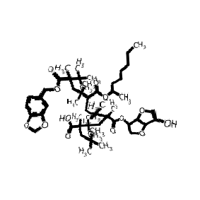 CCCCCCC(C)OC(=O)C(CC(C)(C)C(C)(CC(C)(C)C(C)(CC(C)(C)C)C(=O)O)C(=O)OC1COC2C(O)COC12)C(C)(C)CC(C)(C(=O)OCc1ccc2c(c1)OCO2)C(C)(C)C